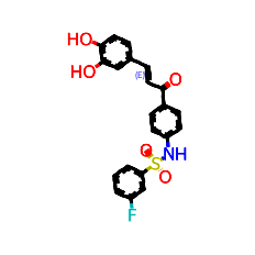 O=C(/C=C/c1ccc(O)c(O)c1)c1ccc(NS(=O)(=O)c2cccc(F)c2)cc1